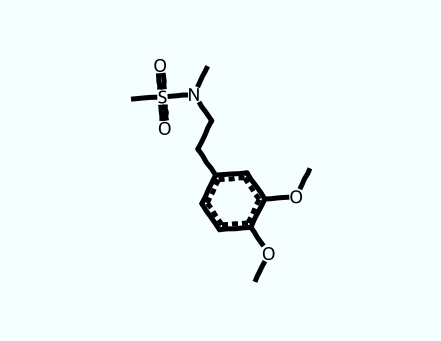 COc1ccc(CCN(C)S(C)(=O)=O)cc1OC